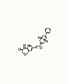 O=C1COCc2cc(/C=C/C(=O)N3C[C@H]4CC(c5ccccc5)=C[C@H]4C3)cnc2N1